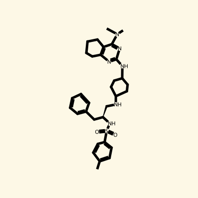 Cc1ccc(S(=O)(=O)N[C@H](CNC2CCC(Nc3nc4c(c(N(C)C)n3)CCCC4)CC2)Cc2ccccc2)cc1